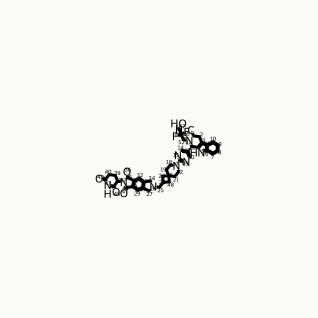 C[C@@H]1Cc2c([nH]c3ccccc23)[C@@H](c2cnc(N3CCC4(CC3)CC(CN3Cc5cc6c(cc5C3)C(=O)N(C3CCC(=O)NC3=O)C6=O)C4)nc2)N1CC(F)(F)CO